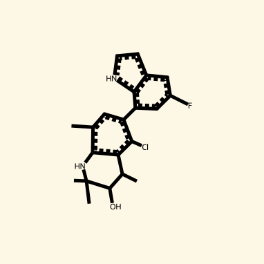 Cc1cc(-c2cc(F)cc3cc[nH]c23)c(Cl)c2c1NC(C)(C)C(O)C2C